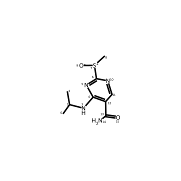 CC(C)Nc1nc([S+](C)[O-])ncc1C(N)=O